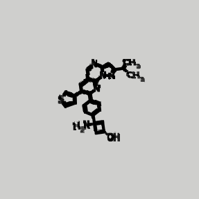 CC(C)c1cc2ncc3cc(-c4ccsc4)c(-c4ccc([C@]5(N)C[C@H](O)C5)cc4)nc3n2n1